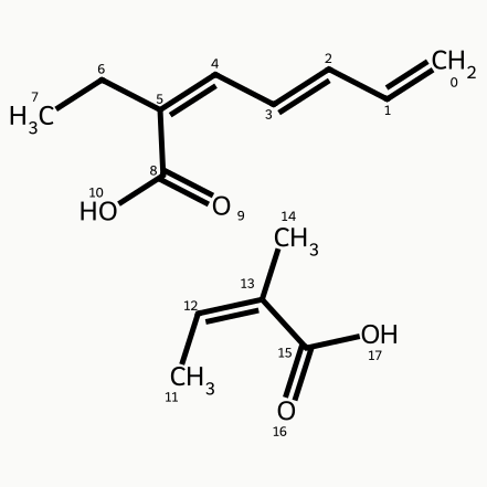 C=CC=CC=C(CC)C(=O)O.CC=C(C)C(=O)O